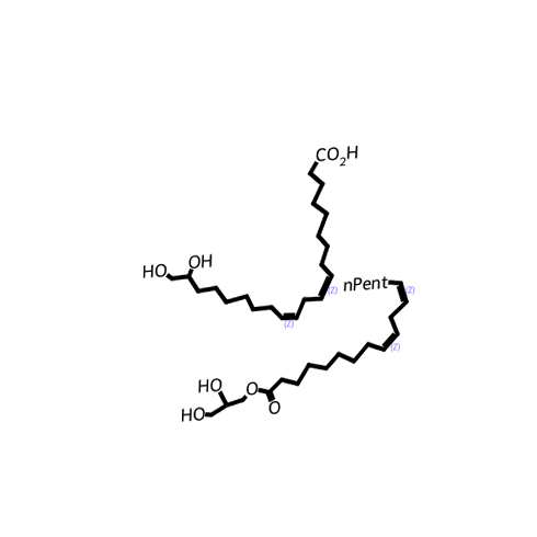 CCCCC/C=C\C/C=C\CCCCCCCC(=O)OCC(O)CO.O=C(O)CCCCCCC/C=C\C/C=C\CCCCCCC(O)CO